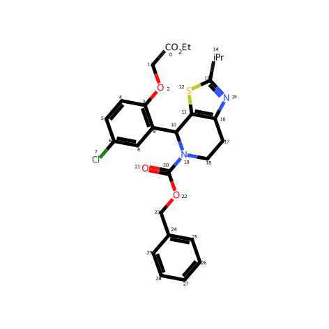 CCOC(=O)COc1ccc(Cl)cc1C1c2sc(C(C)C)nc2CCN1C(=O)OCc1ccccc1